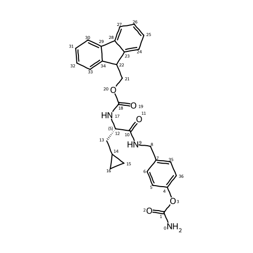 NC(=O)Oc1ccc(CNC(=O)[C@H](CC2CC2)NC(=O)OCC2c3ccccc3-c3ccccc32)cc1